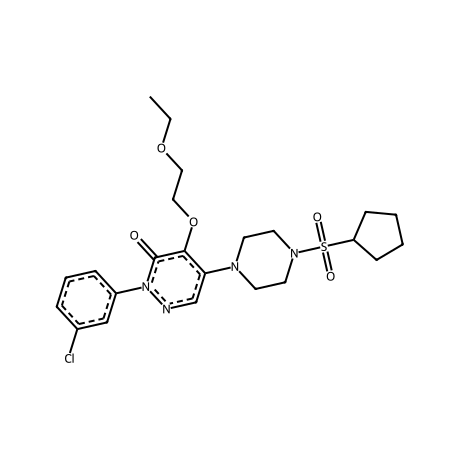 CCOCCOc1c(N2CCN(S(=O)(=O)C3CCCC3)CC2)cnn(-c2cccc(Cl)c2)c1=O